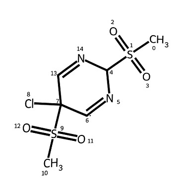 CS(=O)(=O)C1N=[C]C(Cl)(S(C)(=O)=O)C=N1